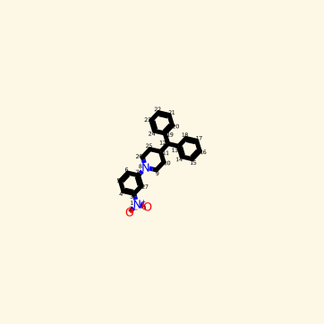 O=[N+]([O-])c1cccc(N2CCC(C(c3ccccc3)c3ccccc3)CC2)c1